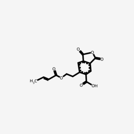 C/C=C/C(=O)OCCc1cc2c(cc1C(=O)O)C(=O)OC2=O